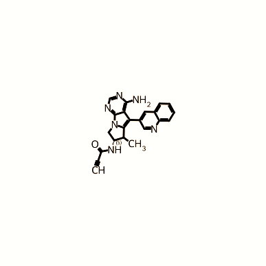 C#CC(=O)N[C@@H]1Cn2c(c(-c3cnc4ccccc4c3)c3c(N)ncnc32)C1C